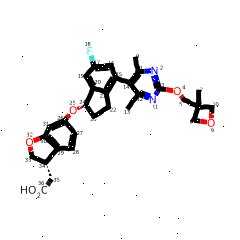 Cc1nc(OCC2(C)COC2)nc(C)c1-c1cc(F)cc2c1CC[C@H]2Oc1ccc2c(c1)OC[C@H]2CC(=O)O